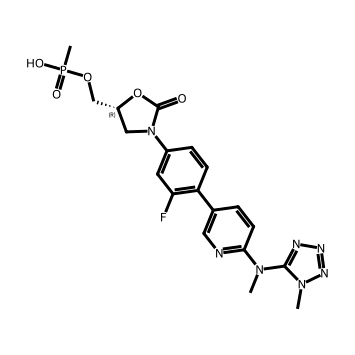 CN(c1ccc(-c2ccc(N3C[C@H](COP(C)(=O)O)OC3=O)cc2F)cn1)c1nnnn1C